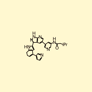 CC(C)CC(=O)Nc1cncc(-c2cnc3[nH]nc(-c4cc5c([nH]4)CCC=C5c4cccnc4)c3c2)c1